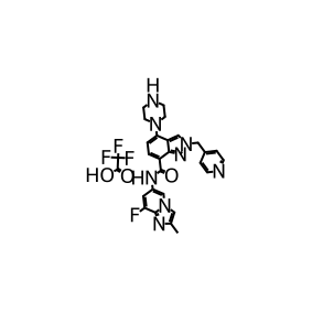 Cc1cn2cc(NC(=O)c3ccc(N4CCNCC4)c4cn(Cc5ccncc5)nc34)cc(F)c2n1.O=C(O)C(F)(F)F